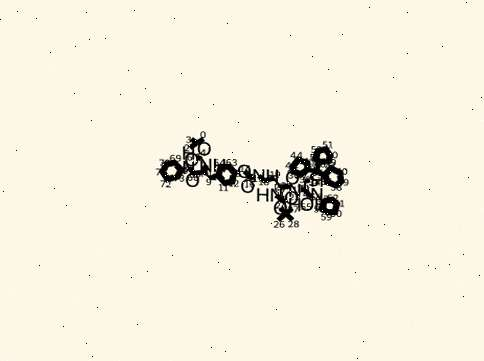 CC(C)(C)OC(=O)N[C@@H](Cc1ccc(OC(=O)NCC[C@H](NC(=O)OC(C)(C)C)C(=O)N[C@@H](CSC(c2ccccc2)(c2ccccc2)c2ccccc2)C(O)Nc2ccccc2)cc1)C(=O)Nc1ccccc1